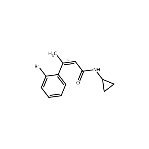 C/C(=C/C(=O)NC1CC1)c1ccccc1Br